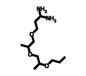 CCCOC(C)COC(C)COCCC(N)N